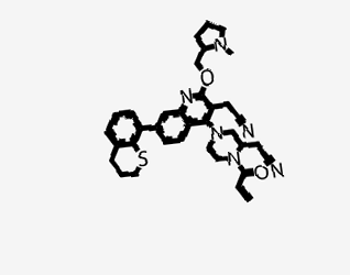 C=CC(=O)N1CCN(c2c(CC#N)c(OCC3CCCN3C)nc3cc(-c4cccc5c4SCCC5)ccc23)CC1CC#N